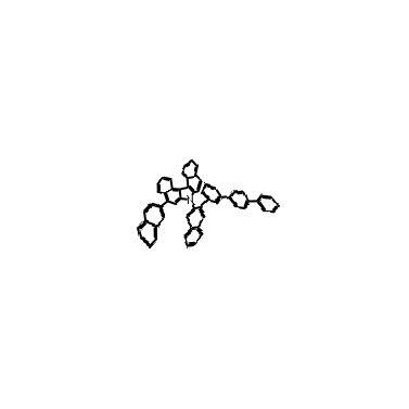 c1ccc(-c2ccc(-c3cccc(-c4cc5ccccc5cc4-n4c5ccc6ccccc6c5c5c6ccccc6c(-c6ccc7ccccc7c6)cc54)c3)cc2)cc1